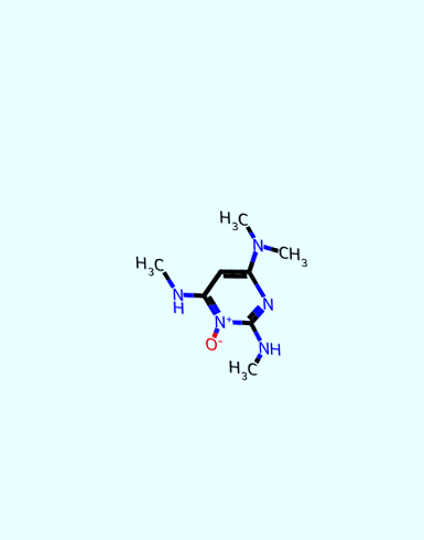 CNc1cc(N(C)C)nc(NC)[n+]1[O-]